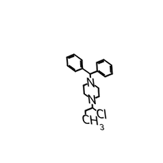 CCC(Cl)N1CCN(C(c2ccccc2)c2ccccc2)CC1